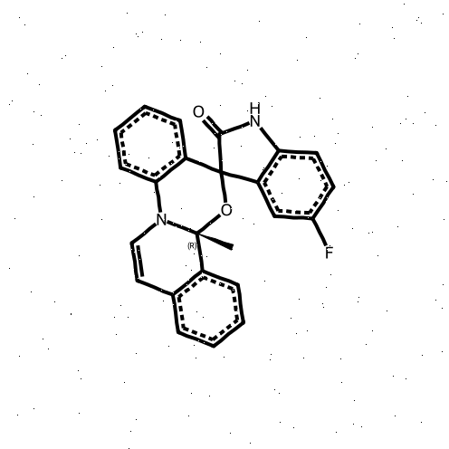 C[C@]12OC3(C(=O)Nc4ccc(F)cc43)c3ccccc3N1C=Cc1ccccc12